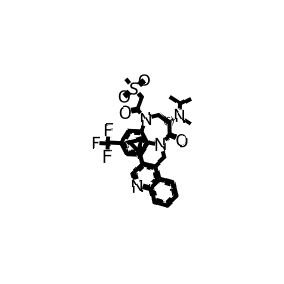 CC(C)N(C)[C@H]1CN(C(=O)CS(C)(=O)=O)c2cc(C(F)(F)F)ccc2N(Cc2c(C3CC3)cnc3ccccc23)C1=O